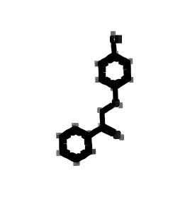 N#Cc1ccc(OCC(=O)c2ccccc2)cc1